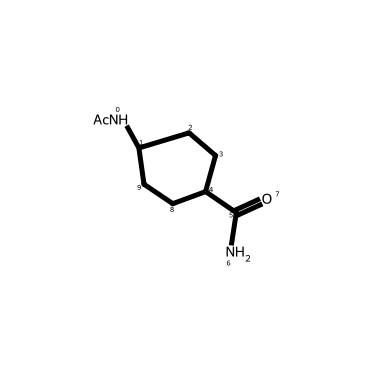 CC(=O)NC1CCC(C(N)=O)CC1